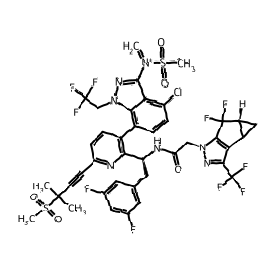 C=[N+](c1nn(CC(F)(F)F)c2c(-c3ccc(C#CC(C)(C)S(C)(=O)=O)nc3[C@H](Cc3cc(F)cc(F)c3)NC(=O)Cn3nc(C(F)(F)F)c4c3C(F)(F)[C@@H]3CC43)ccc(Cl)c12)S(C)(=O)=O